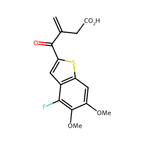 C=C(CC(=O)O)C(=O)c1cc2c(F)c(OC)c(OC)cc2s1